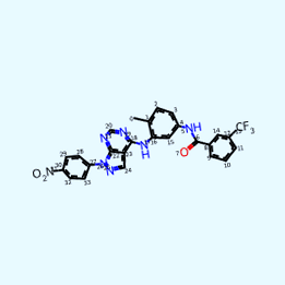 Cc1ccc(NC(=O)c2cccc(C(F)(F)F)c2)cc1Nc1ncnc2c1cnn2-c1ccc([N+](=O)[O-])cc1